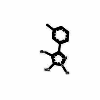 CCn1nc(-c2cccc(C)c2)c(C(C)(C)C)c1O